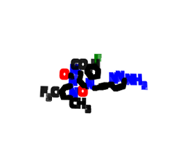 Cc1cc(C(F)(F)F)cc(N2C(=O)N(C(=O)O)CC2C(=O)N(CC#Cc2ccc(N)nn2)c2ccc(F)cc2)n1